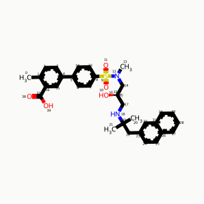 Cc1ccc(-c2ccc(S(=O)(=O)N(C)C[C@H](O)CNC(C)(C)Cc3ccc4ccccc4c3)cc2)cc1C(=O)O